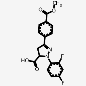 COC(=O)c1ccc(C2=NN(c3ccc(F)cc3F)C(C(=O)O)C2)cc1